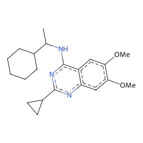 COc1cc2nc(C3CC3)nc(NC(C)C3CCCCC3)c2cc1OC